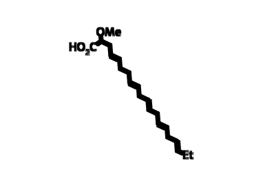 CCC=CCC=CCC=CCC=CCCC=CCC(OC)C(=O)O